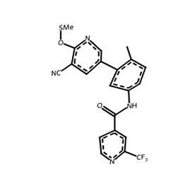 CSOc1ncc(-c2cc(NC(=O)c3ccnc(C(F)(F)F)c3)ccc2C)cc1C#N